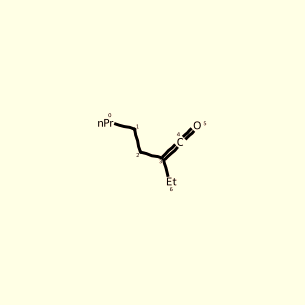 CCCCCC(=C=O)CC